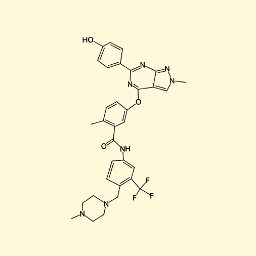 Cc1ccc(Oc2nc(-c3ccc(O)cc3)nc3nn(C)cc23)cc1C(=O)Nc1ccc(CN2CCN(C)CC2)c(C(F)(F)F)c1